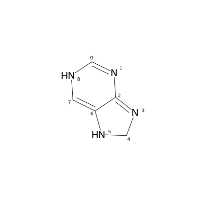 C1=NC2=NCNC2=CN1